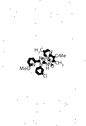 COc1cccc(-c2nnc(NS(=O)(=O)C(C)C(OC)c3ncc(C)cn3)n2-c2cccc(Cl)c2)n1